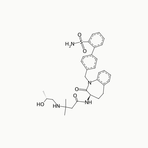 C[C@@H](O)CNC(C)(C)CC(=O)N[C@@H]1CCc2ccccc2N(Cc2ccc(-c3ccccc3S(N)(=O)=O)cc2)C1=O